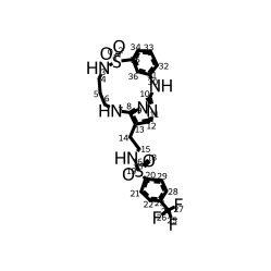 O=S1(=O)NCCCNc2nc(ncc2CCNS(=O)(=O)c2ccc(C(F)(F)F)cc2)Nc2cccc1c2